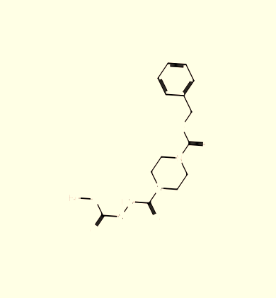 CC(C)(C)OC(=O)NNC(=O)N1CCN(C(=O)OCc2ccccc2)CC1